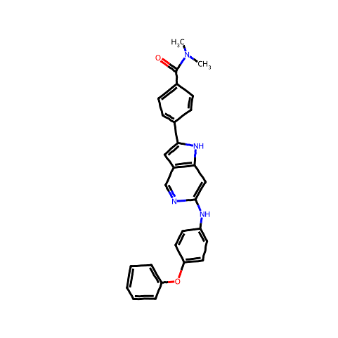 CN(C)C(=O)c1ccc(-c2cc3cnc(Nc4ccc(Oc5ccccc5)cc4)cc3[nH]2)cc1